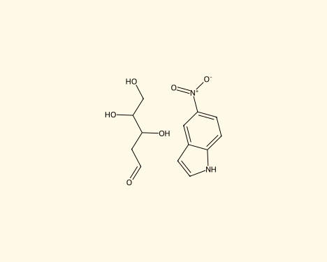 O=CCC(O)C(O)CO.O=[N+]([O-])c1ccc2[nH]ccc2c1